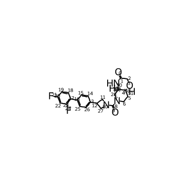 O=C1CO[C@H]2CCN(C(=O)N3CC(c4ccc(-c5ccc(F)cc5F)cc4)C3)C[C@H]2N1